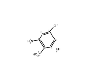 Nc1nc(Cl)ccc1C(=O)O.[LiH]